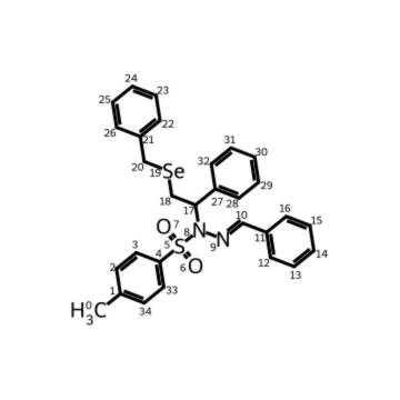 Cc1ccc(S(=O)(=O)N(N=Cc2ccccc2)C(C[Se]Cc2ccccc2)c2ccccc2)cc1